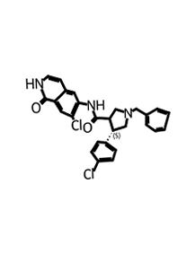 O=C(Nc1cc2cc[nH]c(=O)c2cc1Cl)C1CN(Cc2ccccc2)C[C@@H]1c1ccc(Cl)cc1